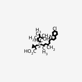 C=C(/C=C/c1ccc2ccc(Cl)cc2n1)/C=C(\C)[C@@H](CCC(=C)/C(=C\C)C(C)(C)O)SCC1(CC(=O)O)CC1